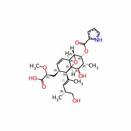 CO[C@@H](C[C@H]1C=C[C@H]2[C@H]3O[C@]1(/C(C)=C/[C@@H](C)CO)[C@@H]2[C@H](O)[C@@H](C)[C@H]3OC(=O)c1ccc[nH]1)C(=O)O